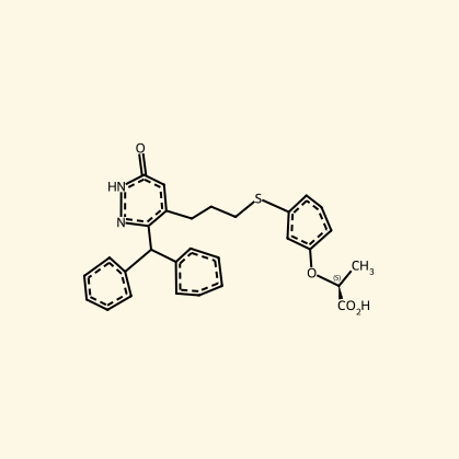 C[C@H](Oc1cccc(SCCCc2cc(=O)[nH]nc2C(c2ccccc2)c2ccccc2)c1)C(=O)O